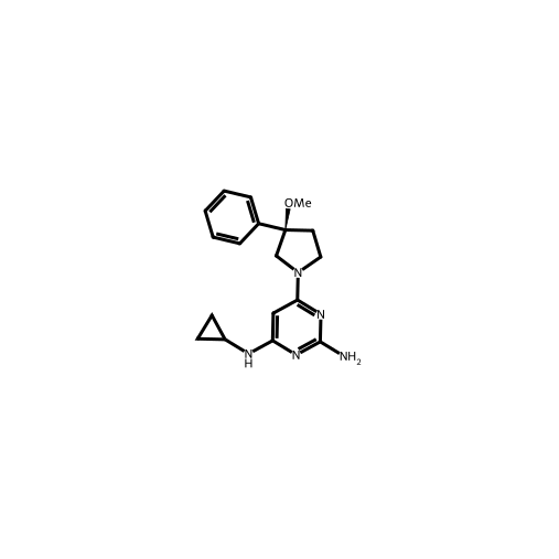 CO[C@@]1(c2ccccc2)CCN(c2cc(NC3CC3)nc(N)n2)C1